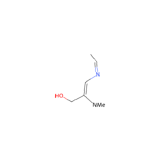 C/C=N\C=C(\CO)NC